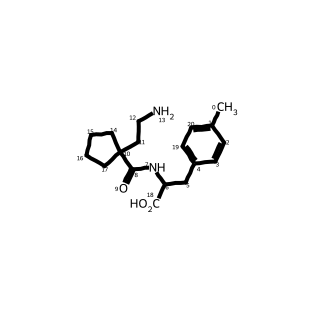 Cc1ccc(CC(NC(=O)C2(CCN)CCCC2)C(=O)O)cc1